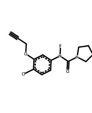 C#CCOc1cc(N(F)C(=O)N2CCCC2)ccc1Cl